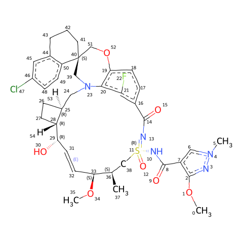 COc1nn(C)cc1C(=O)N[S@@]1(=O)=NC(=O)c2ccc3c(c2F)N(C[C@@H]2CC[C@H]2[C@@H](O)/C=C/[C@H](OC)[C@H](C)C1)C[C@@]1(CCCc2cc(Cl)ccc21)CO3